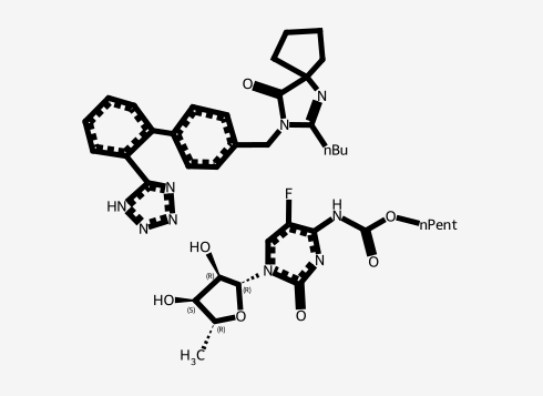 CCCCC1=NC2(CCCC2)C(=O)N1Cc1ccc(-c2ccccc2-c2nnn[nH]2)cc1.CCCCCOC(=O)Nc1nc(=O)n([C@@H]2O[C@H](C)[C@@H](O)[C@H]2O)cc1F